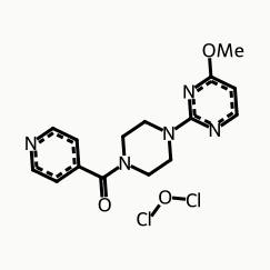 COc1ccnc(N2CCN(C(=O)c3ccncc3)CC2)n1.ClOCl